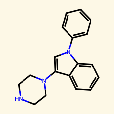 c1ccc(-n2cc(N3CCNCC3)c3ccccc32)cc1